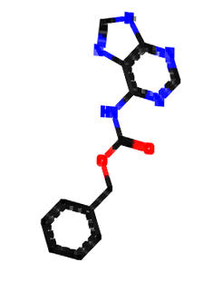 O=C(Nc1ncnc2c1N=C[N]2)OCc1ccccc1